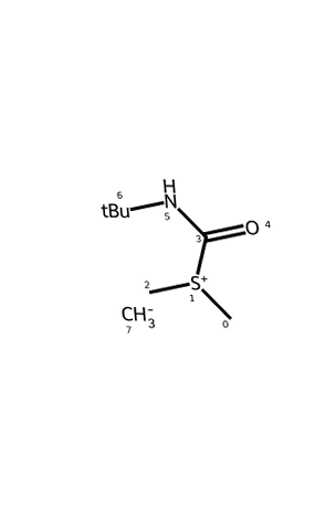 C[S+](C)C(=O)NC(C)(C)C.[CH3-]